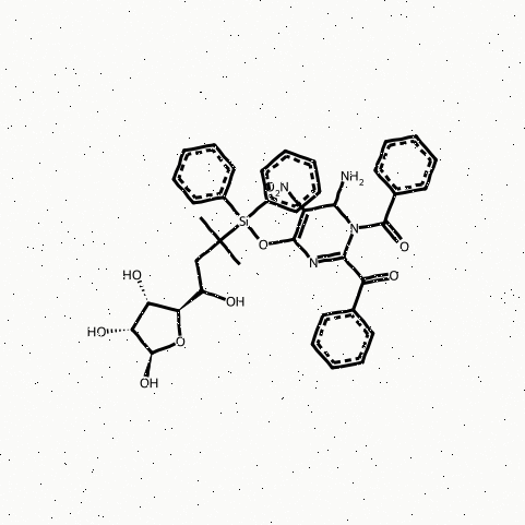 CC(C)(CC(O)[C@H]1O[C@@H](O)[C@H](O)[C@@H]1O)[Si](OC1=C([N+](=O)[O-])C(N)N(C(=O)c2ccccc2)C(C(=O)c2ccccc2)=N1)(c1ccccc1)c1ccccc1